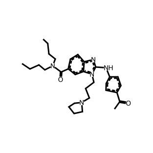 CCCCN(CCCC)C(=O)c1ccc2nc(Nc3ccc(C(C)=O)cc3)n(CCCN3CCCC3)c2c1